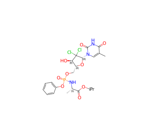 Cc1cn([C@@H]2O[C@H](COP(=O)(N[C@@H](C)C(=O)OC(C)C)Oc3ccccc3)[C@@H](O)C2(Cl)Cl)c(=O)[nH]c1=O